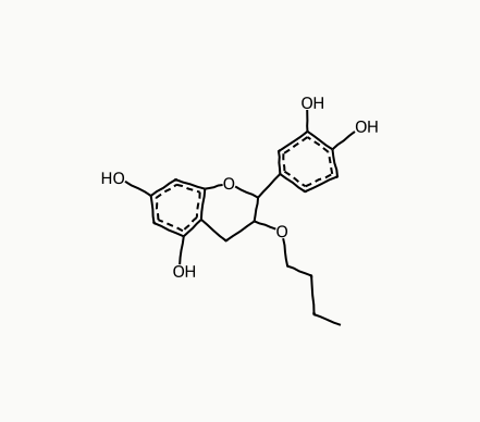 CCCCOC1Cc2c(O)cc(O)cc2OC1c1ccc(O)c(O)c1